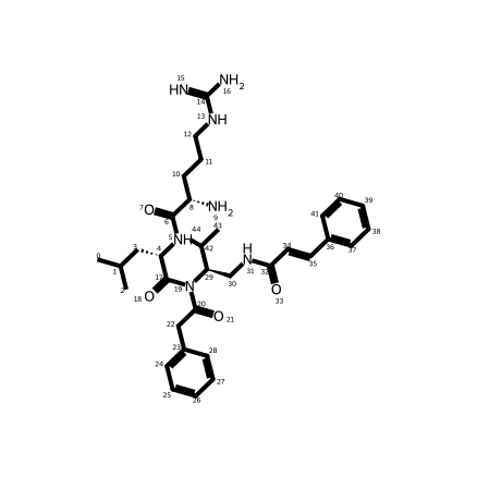 CC(C)C[C@H](NC(=O)[C@@H](N)CCCNC(=N)N)C(=O)N(C(=O)Cc1ccccc1)[C@H](CNC(=O)/C=C/c1ccccc1)C(C)C